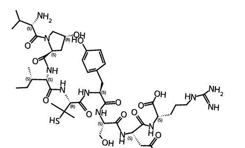 CC[C@H](C)[C@H](NC(=O)[C@@H]1C[C@@H](O)CN1C(=O)[C@@H](N)C(C)C)C(=O)N[C@H](C(=O)N[C@@H](Cc1ccc(O)cc1)C(=O)N[C@@H](CO)C(=O)N[C@@H](CC(N)=O)C(=O)N[C@@H](CCCNC(=N)N)C(=O)O)C(C)(C)S